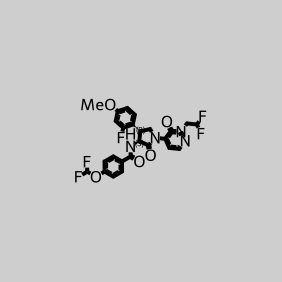 COc1ccc([C@@H]2CN(c3ccnn(CC(F)F)c3=O)C(=O)[C@H]2NC(=O)c2ccc(OC(F)F)cc2)c(F)c1